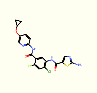 Nc1ncc(C(=O)Nc2cc(C(=O)Nc3ccc(OC4CC4)cn3)c(F)cc2Cl)s1